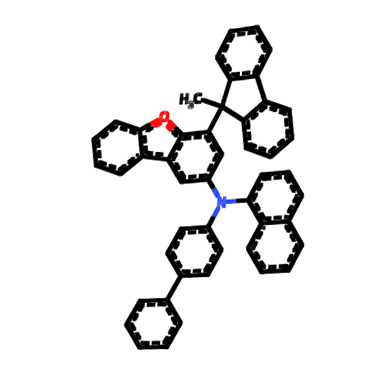 CC1(c2cc(N(c3ccc(-c4ccccc4)cc3)c3cccc4ccccc34)cc3c2oc2ccccc23)c2ccccc2-c2ccccc21